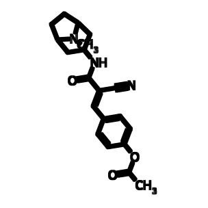 CC(=O)Oc1ccc(C=C(C#N)C(=O)NC2CC3CCC(C2)N3C)cc1